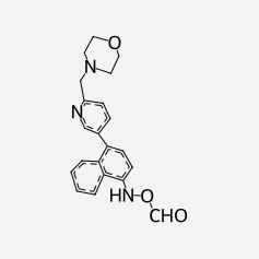 O=CONc1ccc(-c2ccc(CN3CCOCC3)nc2)c2ccccc12